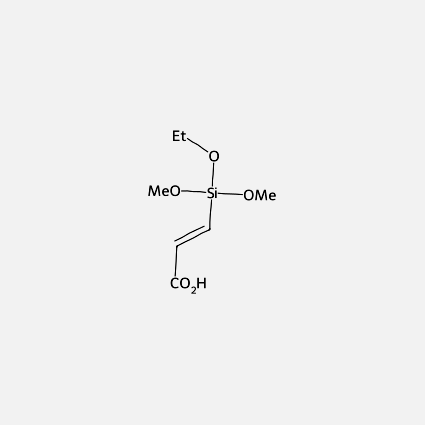 CCO[Si](C=CC(=O)O)(OC)OC